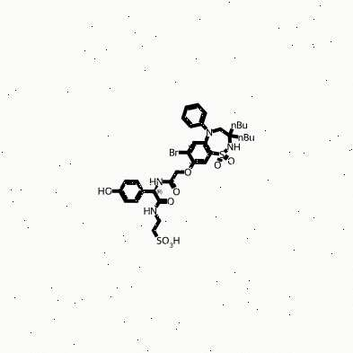 CCCCC1(CCCC)CN(c2ccccc2)c2cc(Br)c(OCC(=O)N[C@@H](C(=O)NCCS(=O)(=O)O)c3ccc(O)cc3)cc2S(=O)(=O)N1